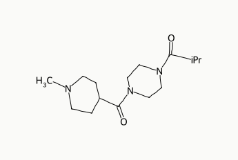 CC(C)C(=O)N1CCN(C(=O)C2CCN(C)CC2)CC1